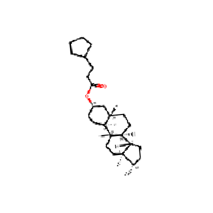 CC(=O)[C@H]1CC[C@H]2[C@@H]3CC[C@H]4C[C@H](OC(=O)CCC5CCCC5)CC[C@]4(C)[C@H]3CC[C@]12C